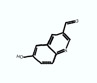 O=Cc1cnc2ccc(O)cc2c1